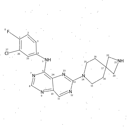 Fc1ccc(Nc2ncnc3cnc(N4CCC5(CC4)CNC5)nc23)cc1Cl